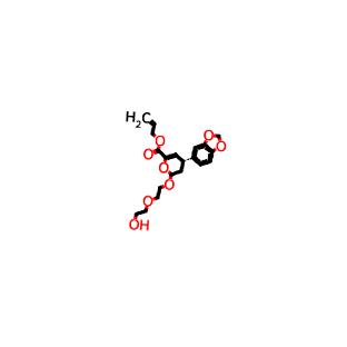 C=CCOC(=O)C1=C[C@H](c2ccc3c(c2)OCO3)CC(OCCOCCO)O1